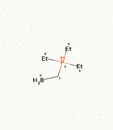 BC[PH](CC)(CC)CC